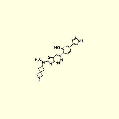 CN(c1nc2nnc(-c3ccc(-c4cn[nH]c4)cc3O)cc2s1)C1CC2(CNC2)C1